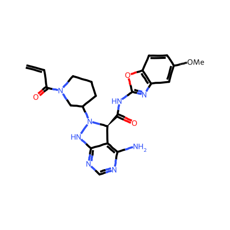 C=CC(=O)N1CCCC(N2Nc3ncnc(N)c3[C@@H]2C(=O)Nc2nc3cc(OC)ccc3o2)C1